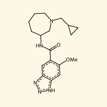 COc1cc2[nH]nnc2cc1C(=O)NC1CCCCN(CC2CC2)C1